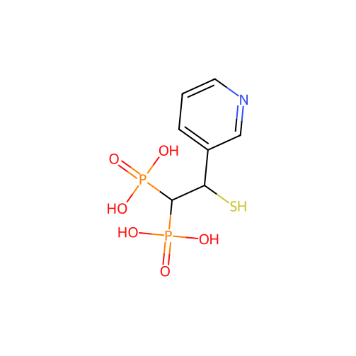 O=P(O)(O)C(C(S)c1cccnc1)P(=O)(O)O